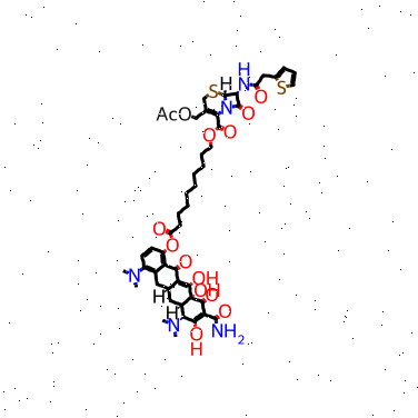 CC(=O)OCC1=C(C(=O)OCCCCCCCCCC(=O)Oc2ccc(N(C)C)c3c2C(=O)C2=C(O)[C@@]4(O)C(=O)C(C(N)=O)=C(O)[C@H](N(C)C)[C@H]4C[C@H]2C3)N2C(=O)[C@@H](NC(=O)Cc3cccs3)[C@H]2SC1